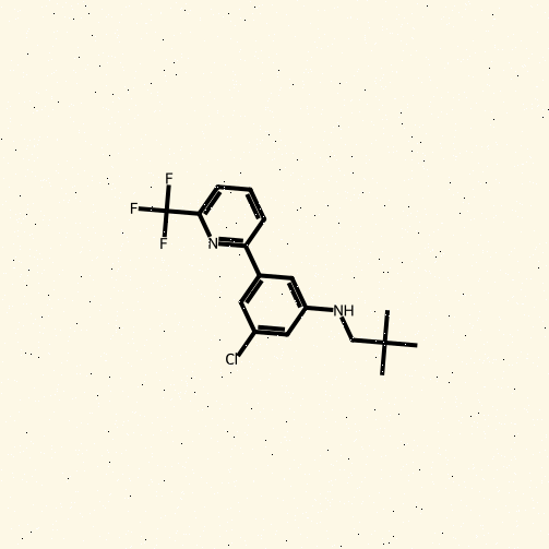 CC(C)(C)CNc1cc(Cl)cc(-c2cccc(C(F)(F)F)n2)c1